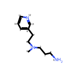 CN(CCCN)CCc1cccnc1